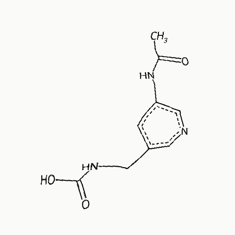 CC(=O)Nc1cncc(CNC(=O)O)c1